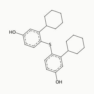 Oc1ccc(Sc2ccc(O)cc2C2CCCCC2)c(C2CCCCC2)c1